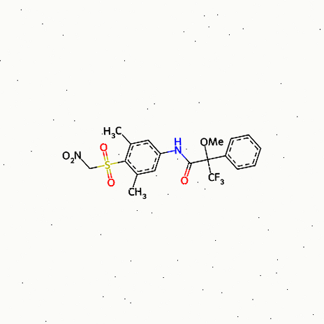 COC(C(=O)Nc1cc(C)c(S(=O)(=O)C[N+](=O)[O-])c(C)c1)(c1ccccc1)C(F)(F)F